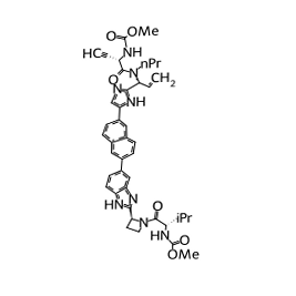 C#C[C@H](NC(=O)OC)C(=O)N(CCC)[C@@H](C=C)c1ncc(-c2ccc3cc(-c4ccc5[nH]c([C@@H]6CCN6C(=O)[C@@H](NC(=O)OC)C(C)C)nc5c4)ccc3c2)[nH]1